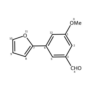 COc1cc(C=O)cc(-c2ccco2)c1